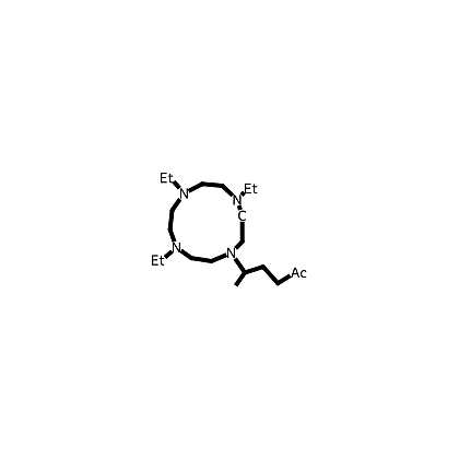 CCN1CCN(CC)CCN(C(C)CCC(C)=O)CCN(CC)CC1